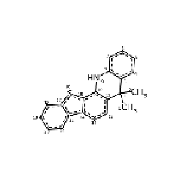 CC1(C)c2ccccc2Nc2c1ccc1c2sc2ccccc21